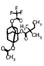 CCC(C)(C)C(=O)OC12CC3CC(OC(C)=O)(CC(OC(=O)C(F)(F)F)(C3)C1)C2